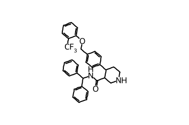 O=C(NC(c1ccccc1)c1ccccc1)C1CNCCC1c1ccc(COc2ccccc2C(F)(F)F)cc1